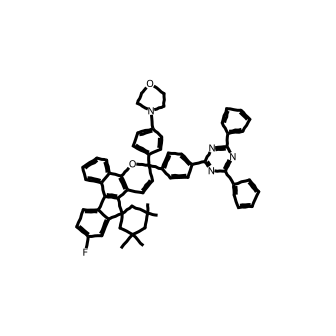 CC1(C)CC(C)(C)CC2(C1)c1cc(F)ccc1-c1c2c2c(c3ccccc13)OC(c1ccc(-c3nc(-c4ccccc4)nc(-c4ccccc4)n3)cc1)(c1ccc(N3CCOCC3)cc1)C=C2